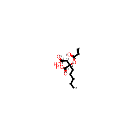 C=CC(=O)OC(CCCCC)(CC(=O)O)C(=O)O